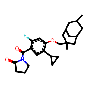 CC1CC2CC(C1)CC(C)(COc1cc(F)c(C(=O)N3CCCC3=O)cc1C1CC1)C2